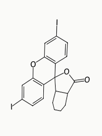 O=C1OC2(c3ccc(I)cc3Oc3cc(I)ccc32)C2CCCCC12